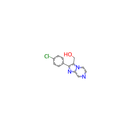 OCc1c(-c2ccc(Cl)cc2)nc2cnccn12